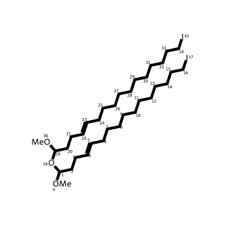 COC(CCC=CCCCCCCCCCCCI)OC(CCC=CCCCCCCCCCCCI)OC